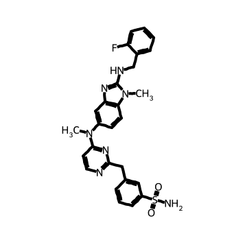 CN(c1ccc2c(c1)nc(NCc1ccccc1F)n2C)c1ccnc(Cc2cccc(S(N)(=O)=O)c2)n1